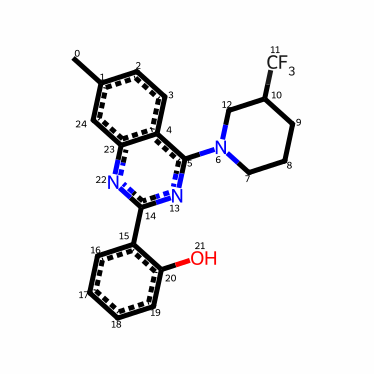 Cc1ccc2c(N3CCCC(C(F)(F)F)C3)nc(-c3ccccc3O)nc2c1